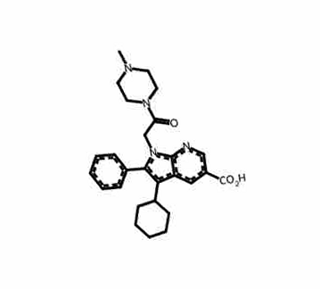 CN1CCN(C(=O)Cn2c(-c3ccccc3)c(C3CCCCC3)c3cc(C(=O)O)cnc32)CC1